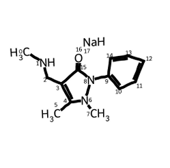 CNCc1c(C)n(C)n(-c2ccccc2)c1=O.[NaH]